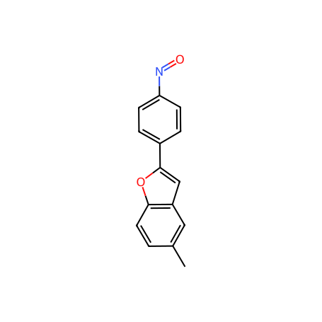 Cc1ccc2oc(-c3ccc(N=O)cc3)cc2c1